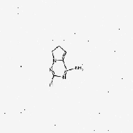 NC1=NC(Cl)=NN2CCC=C12